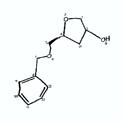 OC1CO[C@H](COCc2ccccc2)C1